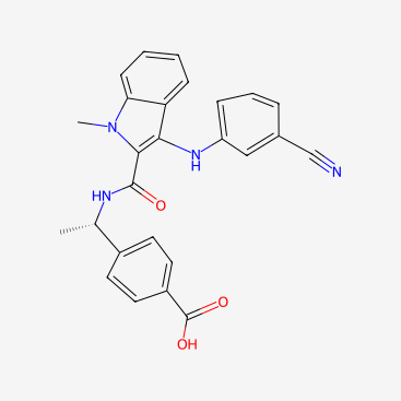 C[C@H](NC(=O)c1c(Nc2cccc(C#N)c2)c2ccccc2n1C)c1ccc(C(=O)O)cc1